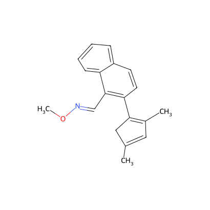 CON=Cc1c(C2=C(C)C=C(C)C2)ccc2ccccc12